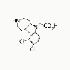 O=C(O)CN1c2ccc(Cl)c(Cl)c2C2CCNCCC21